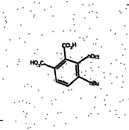 CCCCCCCCc1c(CCCC)ccc(C(=O)O)c1C(=O)O